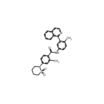 Cc1cc(N2CCCCS2(=O)=O)ccc1C(=O)Nc1ccc(C)c(-c2nccc3ccccc23)c1